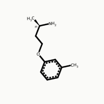 Cc1cccc(OCC[C@@H](C)N)c1